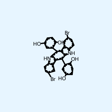 Oc1ccc(O)c(-c2c3[nH]c4ccc(Br)cc4c3c(-c3cc(O)ccc3O)c3[nH]c4ccc(Br)cc4c23)c1